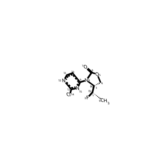 C[C@H](F)[C@H]1COC(=O)N1c1ccnc(Cl)n1